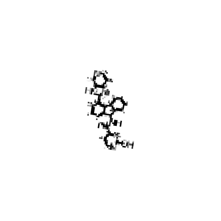 O=C(NC1c2ccccc2-c2c(-c3nc4ccncc4[nH]3)cccc21)c1ccnc(O)n1